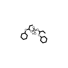 CCC(OC1CCCCC1)OP(=O)(O)OC(CC)OC1CCCCC1